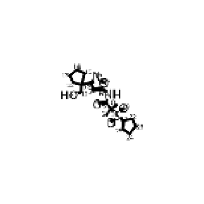 CC(C)(C(=O)Nc1cc(C2(CO)CCCC2)no1)S(=O)(=O)C1CCCC1